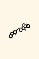 Cn1c(-c2ccccc2)nc2c1CN(Cc1ccc3c(c1)Cc1ccccc1-3)CC2